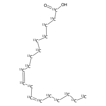 [13CH3][13CH2][13CH2][13CH2][13CH2]/[13CH]=[13CH]\[13CH2]/[13CH]=[13CH]\[13CH2][13CH2][13CH2][13CH2][13CH2][13CH2][13CH2][13C](=O)O